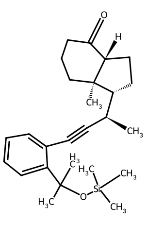 C[C@@H](C#Cc1ccccc1C(C)(C)O[Si](C)(C)C)[C@H]1CC[C@H]2C(=O)CCC[C@]12C